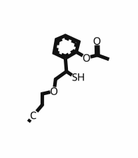 CCCCOCC(S)c1ccccc1OC(C)=O